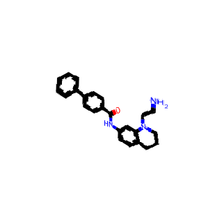 NCCN1CCCc2ccc(NC(=O)c3ccc(-c4ccccc4)cc3)cc21